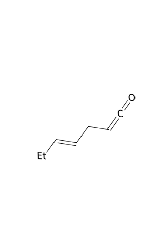 CCC=CCC=C=O